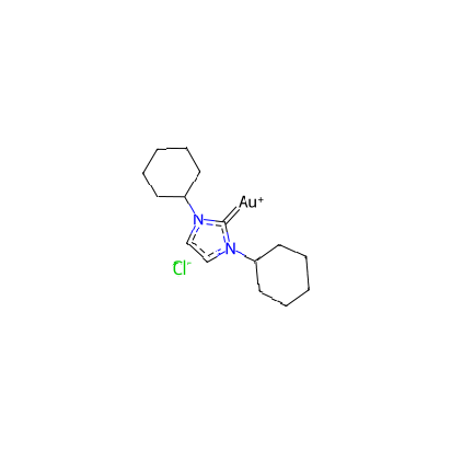 [Au+]=[c]1n(C2CCCCC2)ccn1C1CCCCC1.[Cl-]